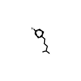 CC(C)CCCc1ccc(Br)cc1